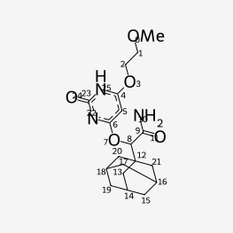 COCCOc1cc(OC(C(N)=O)C23CC4CC(CC(C4)C2)C3)nc(=O)[nH]1